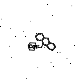 c1ccc2c(C[N+]34CCC(CC3)CC4)c3ccccc3cc2c1